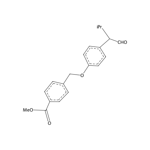 COC(=O)c1ccc(COc2ccc(C(C=O)C(C)C)cc2)cc1